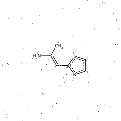 C/C(N)=C\c1nccs1